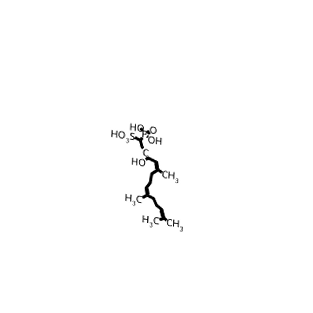 CC(C)=CCCC(C)=CCCC(C)=CC(O)CCC(P(=O)(O)O)S(=O)(=O)O